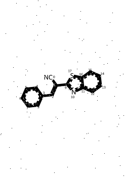 N#CC(=Cc1ccccc1)c1nc2ccccc2s1